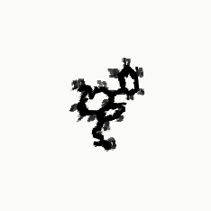 CSc1csc2c1CCN(C)CC2c1ccccc1